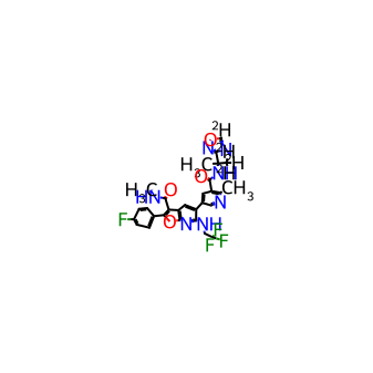 [2H]c1nc(C(C)(NC(=O)c2cc(-c3cc4c(C(=O)NC)c(-c5ccc(F)cc5)oc4nc3NCC(F)(F)F)cnc2C)C([2H])([2H])[2H])no1